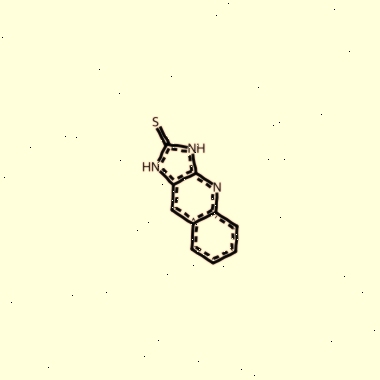 S=c1[nH]c2cc3ccccc3nc2[nH]1